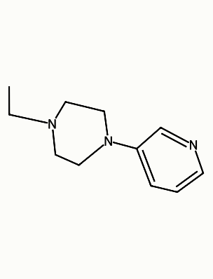 CCN1CCN(c2cccnc2)CC1